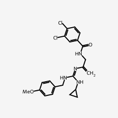 C=C(CNC(=O)c1ccc(Cl)c(Cl)c1)/N=C(/NCc1ccc(OC)cc1)NC1CC1